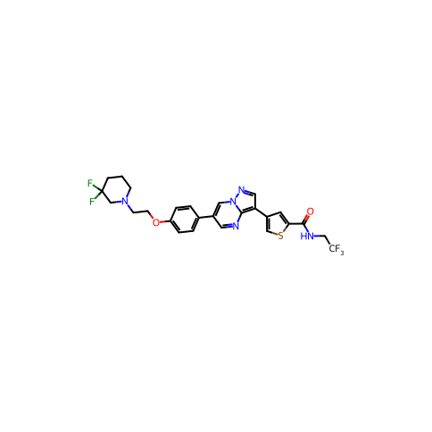 O=C(NCC(F)(F)F)c1cc(-c2cnn3cc(-c4ccc(OCCN5CCCC(F)(F)C5)cc4)cnc23)cs1